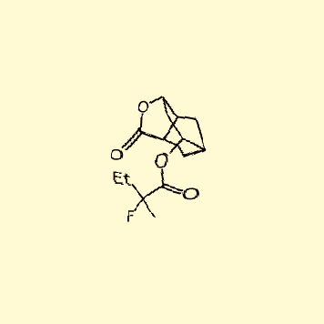 CCC(C)(F)C(=O)OC1C2CC3C(=O)OC1C3C2